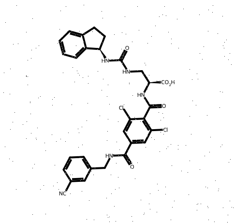 N#Cc1cccc(CNC(=O)c2cc(Cl)c(C(=O)N[C@@H](CNC(=O)N[C@@H]3CCc4ccccc43)C(=O)O)c(Cl)c2)c1